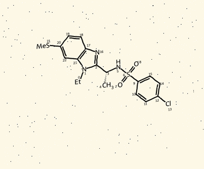 CCn1c([C@@H](C)NS(=O)(=O)c2ccc(Cl)cc2)nc2ccc(SC)cc21